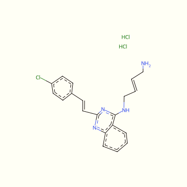 Cl.Cl.NCC=CCNc1nc(C=Cc2ccc(Cl)cc2)nc2ccccc12